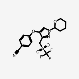 N#Cc1ccc(Oc2cn(C3CCCCO3)nc2CS(=O)(=O)C(F)(F)F)cc1